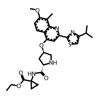 CCOC(=O)C1(NC(=O)[C@@H]2C[C@@H](Oc3cc(-c4nc(C(C)C)cs4)nc4c(C)c(OC)ccc34)CN2)CC1